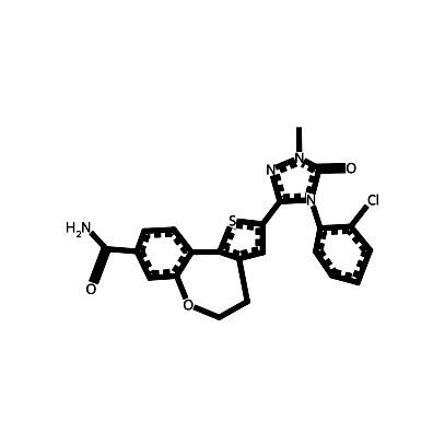 Cn1nc(-c2cc3c(s2)-c2ccc(C(N)=O)cc2OCC3)n(-c2ccccc2Cl)c1=O